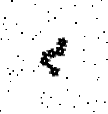 O=C(c1cccc(C#Cc2ccccn2)c1)N1CCN(c2nccc(-c3ccccc3)n2)CC1